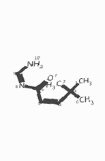 CC(C)(C)/C=C\C(=O)/N=C\N